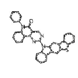 O=c1c2cnc(-n3c4ccccc4c4cc5sc6ccccc6c5cc43)nc2c2ccccc2n1-c1ccccc1